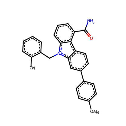 COc1ccc(-c2c[c]c3c4c(C(N)=O)cccc4n(Cc4ccccc4C#N)c3c2)cc1